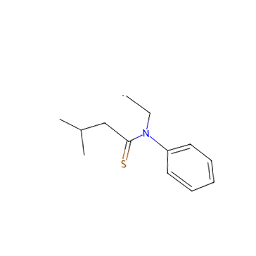 [CH2]CN(C(=S)CC(C)C)c1ccccc1